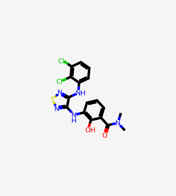 CN(C)C(=O)c1cccc(Nc2nsnc2Nc2cccc(Cl)c2Cl)c1O